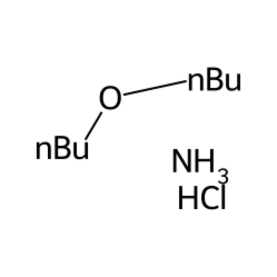 CCCCOCCCC.Cl.N